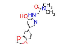 CN(C)C(=O)CNc1ncc(-c2ccc3c(c2)OCCO3)cc1O